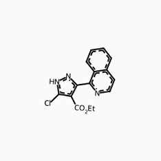 CCOC(=O)c1c(-c2nccc3ccccc23)n[nH]c1Cl